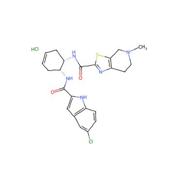 CN1CCc2nc(C(=O)N[C@H]3CC=CC[C@H]3NC(=O)c3cc4cc(Cl)ccc4[nH]3)sc2C1.Cl